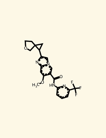 COc1cc2nc(C3CC34CCOC4)cn2cc1C(=O)Nc1cccc(C(F)(F)F)n1